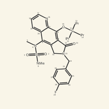 CNS(=O)(=O)N(C)c1c2c(c(O[Si](C(C)C)(C(C)C)C(C)C)c3ncccc13)C(=O)N(Cc1ccc(F)cc1)C2